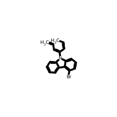 C=C/C=C(\C=C/C)n1c2ccccc2c2c(Br)cccc21